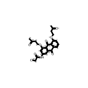 CC(=O)CCOc1cccc2c1C(=O)c1c(OCCC(C)=O)cc(NC(=O)CCl)cc1C2=O